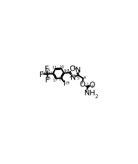 NC(=O)OCc1noc(-c2ccc(C(F)(F)F)cc2I)n1